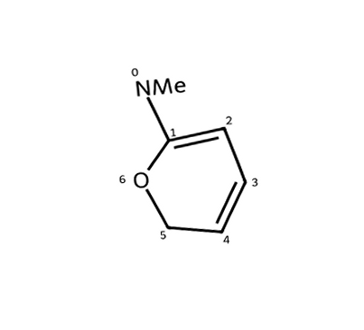 CNC1=CC=CCO1